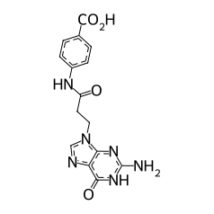 Nc1nc2c(ncn2CCC(=O)Nc2ccc(C(=O)O)cc2)c(=O)[nH]1